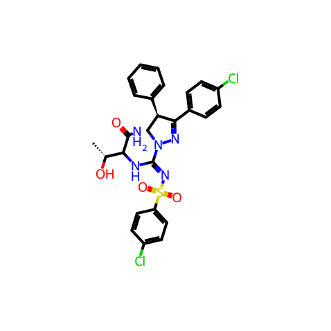 C[C@@H](O)C(N/C(=N\S(=O)(=O)c1ccc(Cl)cc1)N1C[C@@H](c2ccccc2)C(c2ccc(Cl)cc2)=N1)C(N)=O